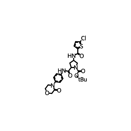 CC(C)(C)OC(=O)N1CC(NC(=O)c2ccc(Cl)s2)CC1C(=O)Nc1ccc(N2CCOCC2=O)cc1